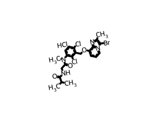 Cc1nc2c(OCc3c(Cl)ccc(N(C)C(=O)CNC(=O)C(C)C)c3Cl)cccn2c1Br.Cl